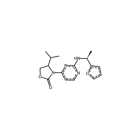 CC(C)C1COC(=O)N1c1ccnc(N[C@@H](C)c2ccco2)n1